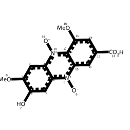 COc1cc2c(cc1O)[n+]([O-])c1cc(C(=O)O)cc(OC)c1[n+]2[O-]